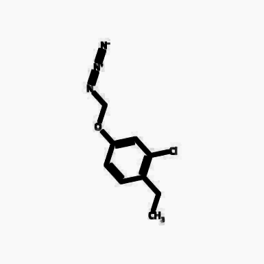 CCc1ccc(OCN=[N+]=[N-])cc1Cl